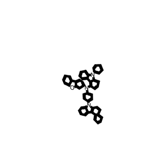 c1ccc(-n2c3ccccc3c3c(N(c4ccc(-n5c6ccccc6c6c7ccccc7ccc65)cc4)c4ccc5c(c4)oc4ccccc45)cccc32)cc1